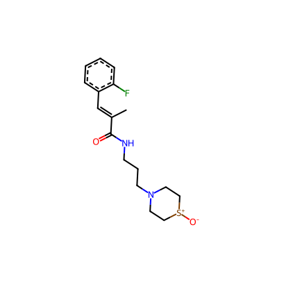 CC(=Cc1ccccc1F)C(=O)NCCCN1CC[S+]([O-])CC1